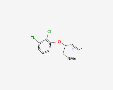 C/C=C/C(CNC)Oc1cccc(Cl)c1Cl